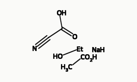 CC(=O)O.CCO.N#CC(=O)O.[NaH]